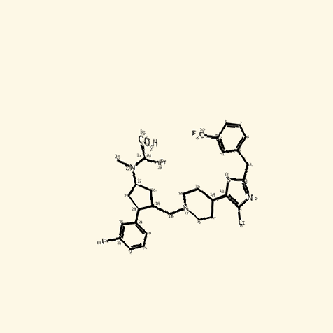 CCc1nc(Cc2cccc(C(F)(F)F)c2)sc1C1CCN(CC2CC(N(C)[C@@H](C(=O)O)C(C)C)CC2c2cccc(F)c2)CC1